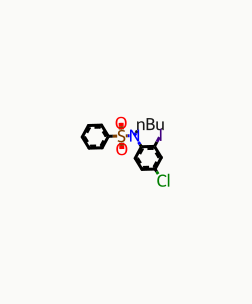 CCCCN(c1ccc(Cl)cc1I)S(=O)(=O)c1ccccc1